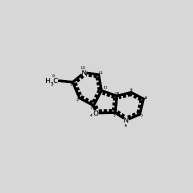 Cc1cc2oc3ncccc3c2cn1